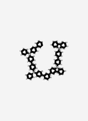 c1ccc(-c2ccc(N(c3ccccc3)c3ccc(-c4ccc(N(c5ccccc5)c5ccc(-c6cccc(-c7ccc8c(c7)c7ccccc7n8-c7ccc(-c8ccc(-n9c%10ccccc%10c%10ccccc%109)cc8)cc7)c6)cc5)cc4)cc3)cc2)cc1